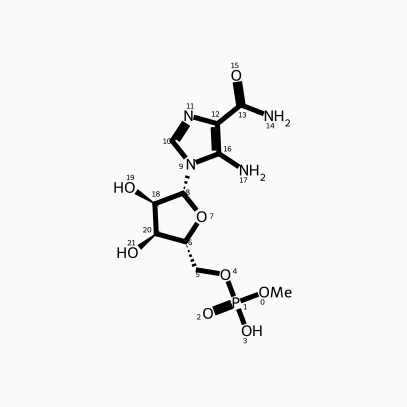 COP(=O)(O)OC[C@H]1O[C@@H](n2cnc(C(N)=O)c2N)[C@H](O)[C@@H]1O